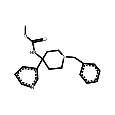 COC(=O)NC1(c2cccnc2)CCN(Cc2ccccc2)CC1